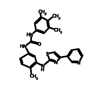 Cc1ccc(NC(=O)Nc2cc(C)c(C)c(C)c2)cc1Nc1nc(-c2cccnc2)cs1